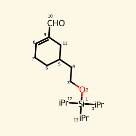 CC(C)[Si](OCCC1CCC=C(C=O)C1)(C(C)C)C(C)C